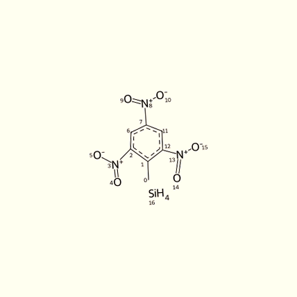 Cc1c([N+](=O)[O-])cc([N+](=O)[O-])cc1[N+](=O)[O-].[SiH4]